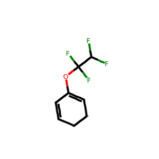 FC(F)C(F)(F)OC1=C[CH]CC=C1